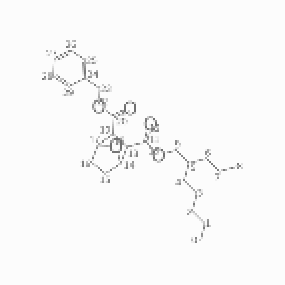 CCCCCC(CCC)COC(=O)C1C2CCC(O2)C1C(=O)OCc1ccccc1